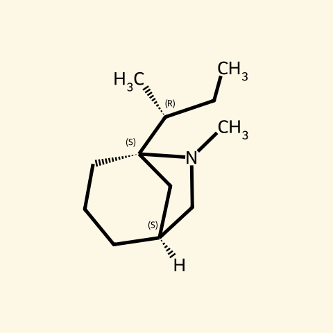 CC[C@@H](C)[C@@]12CCC[C@H](CN1C)C2